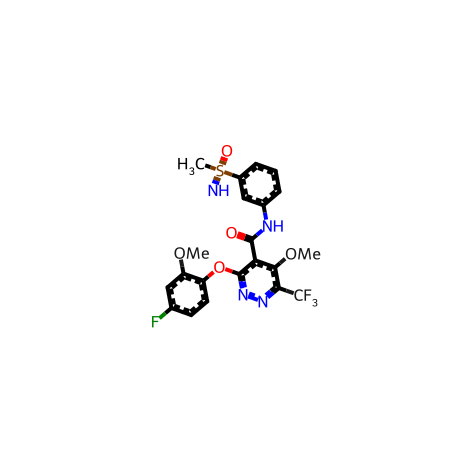 COc1cc(F)ccc1Oc1nnc(C(F)(F)F)c(OC)c1C(=O)Nc1cccc(S(C)(=N)=O)c1